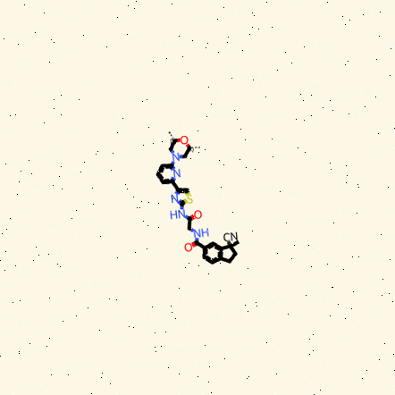 C[C@@H]1CN(c2cccc(-c3csc(NC(=O)CNC(=O)c4ccc5c(c4)C(C)(C#N)CC5)n3)n2)C[C@H](C)O1